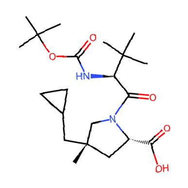 CC(C)(C)OC(=O)N[C@H](C(=O)N1C[C@@](C)(CC2CC2)C[C@H]1C(=O)O)C(C)(C)C